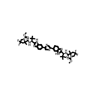 COC(=O)N1CC(F)(F)CC1(C)C(=O)N[C@H](c1nc2ccc(-c3cnc(-c4ccc5nc([C@@H](NC(=O)C6(C)CC(F)(F)CN6C(=O)OC)C(C)(C)C)[nH]c5c4)cn3)cc2[nH]1)C(C)(C)C